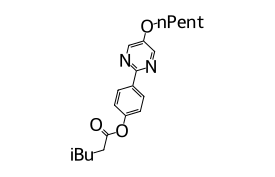 CCCCCOc1cnc(-c2ccc(OC(=O)CC(C)CC)cc2)nc1